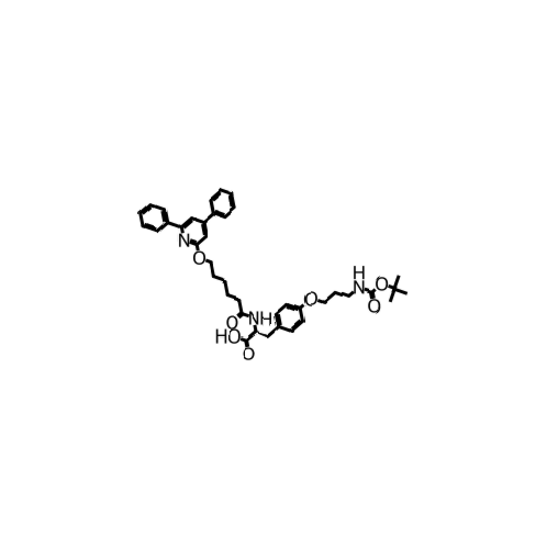 CC(C)(C)OC(=O)NCCCOc1ccc(C[C@H](NC(=O)CCCCCOc2cc(-c3ccccc3)cc(-c3ccccc3)n2)C(=O)O)cc1